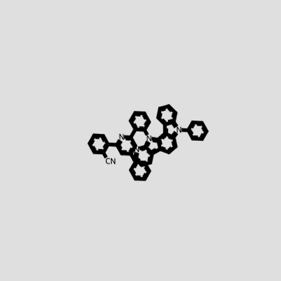 N#Cc1ccccc1-c1cc(-c2ccccc2)cc(-c2ccccc2-n2c3ncccc3c3ccc4c(c5ccccc5n4-c4ccccc4)c32)n1